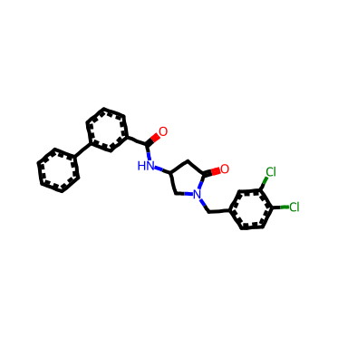 O=C(NC1CC(=O)N(Cc2ccc(Cl)c(Cl)c2)C1)c1cccc(-c2ccccc2)c1